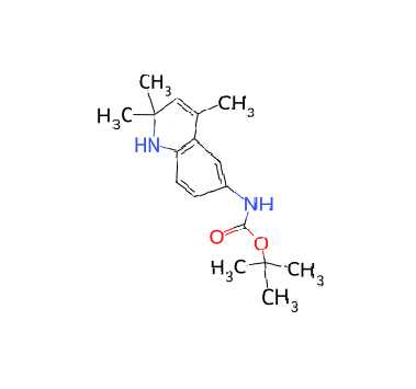 CC1=CC(C)(C)Nc2ccc(NC(=O)OC(C)(C)C)cc21